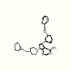 Nc1ncnc2c1c(-c1cccc(OCC34CCC(CC3)O4)c1)cn2[C@H]1CC[C@H](CN2CCOCC2)CC1